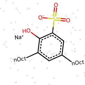 CCCCCCCCc1cc(CCCCCCCC)c(O)c(S(=O)(=O)[O-])c1.[Na+]